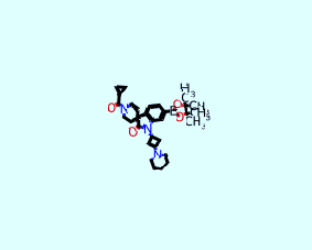 CC1(C)OB(c2ccc3c(c2)N(C2CC(N4CCCCC4)C2)C(=O)C32CCN(C(=O)C3CC3)CC2)OC1(C)C